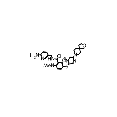 C=C(NCc1ccc(N)nc1)c1c(NC)ccc(Sc2cnc(N3CCC4(CCOC4)CC3)cn2)c1Cl